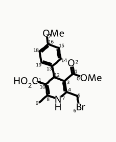 COC(=O)C1=C(CBr)NC(C)=C(C(=O)O)C1c1ccc(OC)cc1